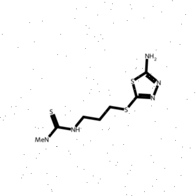 CNC(=S)NCCCSc1nnc(N)s1